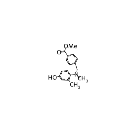 COC(=O)c1ccc(CN(C)c2ccc(O)cc2C)cc1